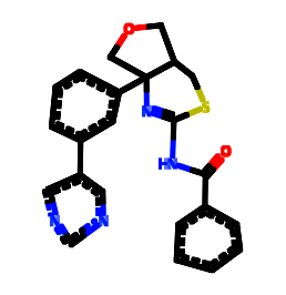 O=C(NC1=NC2(c3cccc(-c4cncnc4)c3)COCC2CS1)c1ccccc1